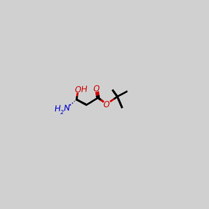 CC(C)(C)OC(=O)C[C@H](N)O